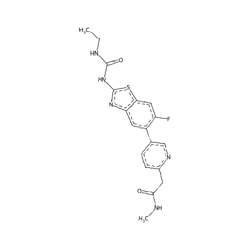 CCNC(=O)Nc1nc2cc(-c3ccc(CC(=O)NC)nc3)c(F)cc2s1